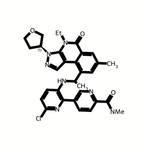 CCn1c(=O)c2cc(C)cc(C(C)Nc3ccc(Cl)nc3-c3ccc(C(=O)NC)nc3)c2c2cnn([C@H]3CCOC3)c21